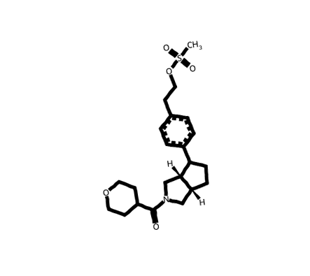 CS(=O)(=O)OCCc1ccc(C2CC[C@@H]3CN(C(=O)C4CCOCC4)C[C@H]23)cc1